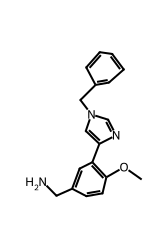 COc1ccc(CN)cc1-c1cn(Cc2ccccc2)cn1